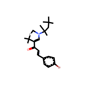 CC(C)(C)CC(C)(C)N1C=C(C(=O)/C=C/c2ccc(Br)cc2)C(C)(C)CC1